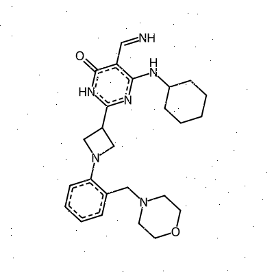 N=Cc1c(NC2CCCCC2)nc(C2CN(c3ccccc3CN3CCOCC3)C2)[nH]c1=O